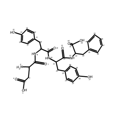 NC(CC(=O)O)C(=O)NC(Cc1ccc(O)cc1)C(=O)NC(Cc1ccc(O)cc1)C(=O)NC(Cc1ccccc1)C(=O)O